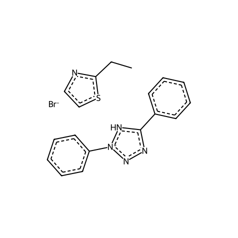 CCc1nccs1.[Br-].c1ccc(-c2nn[n+](-c3ccccc3)[nH]2)cc1